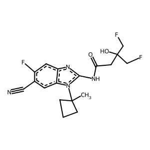 CC1(n2c(NC(=O)CC(O)(CF)CF)nc3cc(F)c(C#N)cc32)CCC1